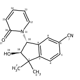 CC1(C)c2ccc(C#N)cc2[C@@H](n2ccccc2=O)[C@@H]1O